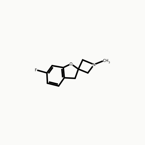 CN1CC2(Cc3ccc(F)cc3O2)C1